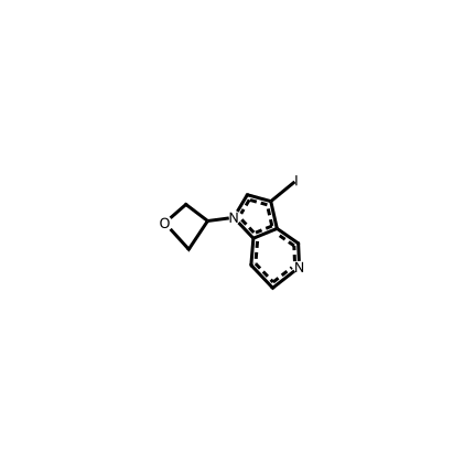 Ic1cn(C2COC2)c2ccncc12